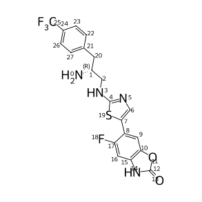 N[C@@H](CNc1ncc(-c2cc3oc(=O)[nH]c3cc2F)s1)Cc1ccc(C(F)(F)F)cc1